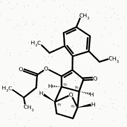 CCc1cc(C)cc(CC)c1C1=C(OC(=O)CC(C)C)[C@H]2[C@@H](C1=O)[C@@H]1CC[C@H]2O1